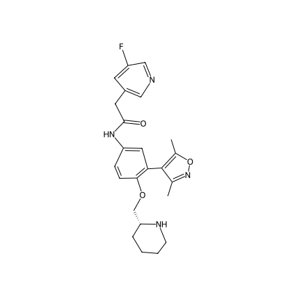 Cc1noc(C)c1-c1cc(NC(=O)Cc2cncc(F)c2)ccc1OC[C@H]1CCCCN1